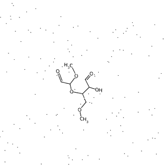 COCC(OC(C=O)OC)C(O)C=O